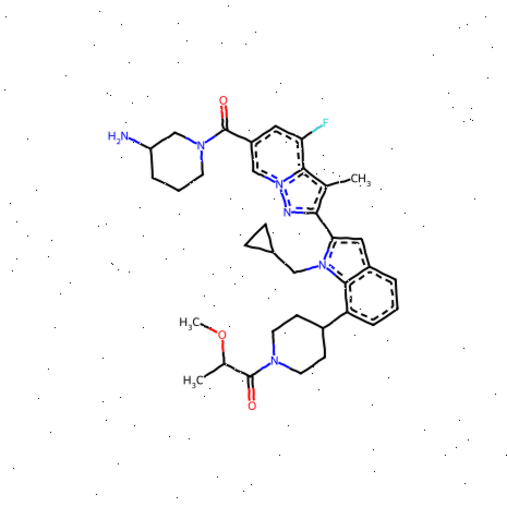 COC(C)C(=O)N1CCC(c2cccc3cc(-c4nn5cc(C(=O)N6CCCC(N)C6)cc(F)c5c4C)n(CC4CC4)c23)CC1